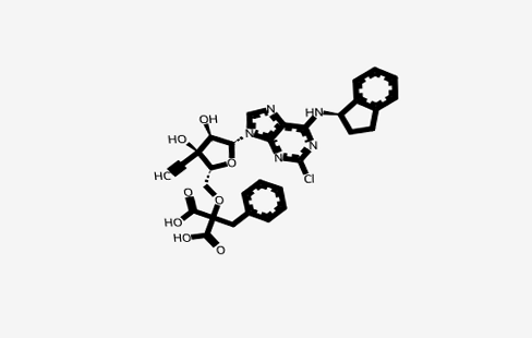 C#C[C@@]1(O)[C@@H](COC(Cc2ccccc2)(C(=O)O)C(=O)O)O[C@@H](n2cnc3c(N[C@@H]4CCc5ccccc54)nc(Cl)nc32)[C@@H]1O